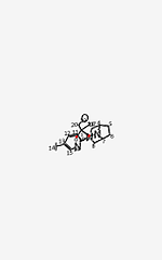 CC1(CN2C3CCC2CN(c2ccc(I)cn2)C3)COC1